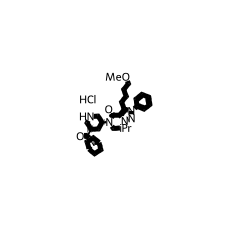 COCCCCc1c(C(=O)N(CC(C)C)[C@@H]2CNC[C@H](C(=O)N3C4CCC3CC4)C2)nnn1-c1ccccc1.Cl